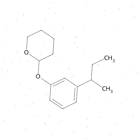 CCC(C)c1cccc(OC2CCCCO2)c1